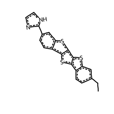 CCc1ccc2c(c1)sc1c2sc2c3ccc(-c4ncc[nH]4)cc3sc21